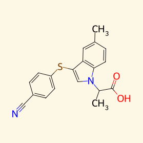 Cc1ccc2c(c1)c(Sc1ccc(C#N)cc1)cn2C(C)C(=O)O